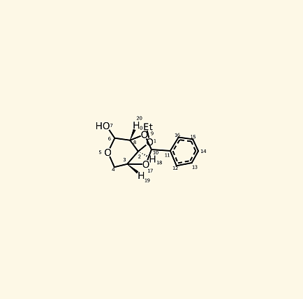 CCO[C@H]1[C@H]2COC(O)[C@@H]1OC(c1ccccc1)O2